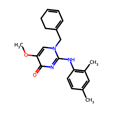 COc1cn(CC2=CC=CCC2)c(Nc2ccc(C)cc2C)nc1=O